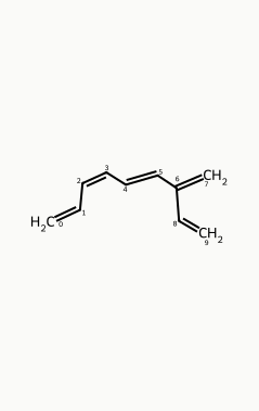 C=C/C=C\C=C\C(=C)C=C